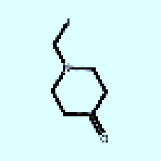 O=C1CCN(CI)CC1